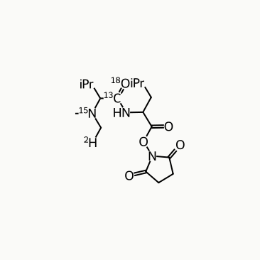 [2H]C[15N](C)C(C(C)C)[13C](=[18O])NC(CC(C)C)C(=O)ON1C(=O)CCC1=O